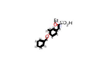 CCO/C(=C\c1ccc(OCc2ccccc2)c(C)c1)C(=O)O